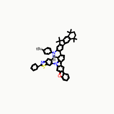 CC(C)(C)c1ccc(Nc2cc3c(cc2-c2ccc4c5cc6c(cc5n5c4c2Bc2cc4nc(-c7ccccc7)sc4cc2-5)oc2ccccc26)-c2cc4c(cc2C3(C)C)C(C)(C)CCC4(C)C)cc1